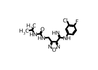 CC(C)NC(=O)NCc1nonc1C(=N)Nc1ccc(F)c(Cl)c1